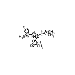 C[C@@H](NC(=O)c1cn(COCC[Si](C)(C)C)c2ncc(-c3nn(C)c4cc(F)ccc34)nc12)C1COC1